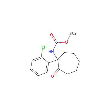 CC(C)(C)OC(=O)NC1(c2ccccc2Cl)CCCCCC1=O